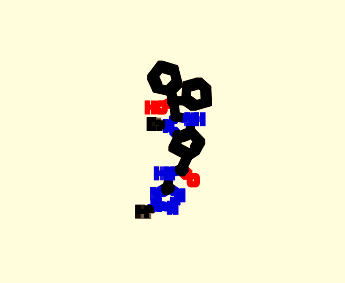 CCN1c2cc(C(=O)Nc3nnn(CC)n3)ccc2NC1C(O)(c1ccccc1)c1ccccc1